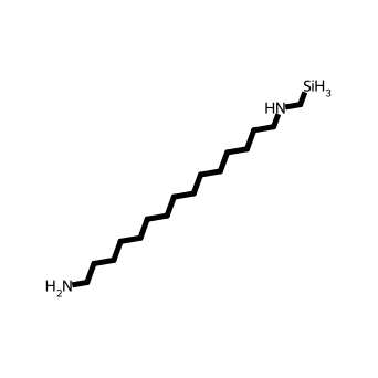 NCCCCCCCCCCCCCCCNC[SiH3]